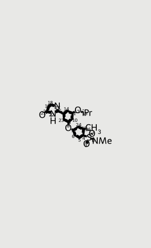 CNS(=O)(=O)c1ccc(Oc2cc(OC(C)C)cc(-c3nccc(=O)[nH]3)c2)cc1C